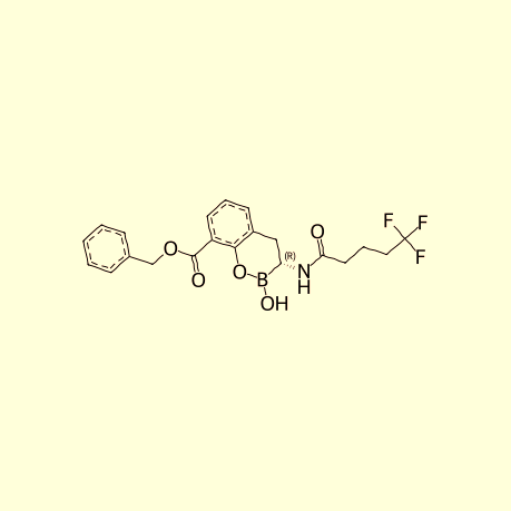 O=C(CCCC(F)(F)F)N[C@H]1Cc2cccc(C(=O)OCc3ccccc3)c2OB1O